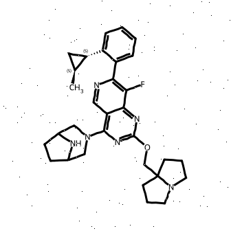 C[C@H]1C[C@@H]1c1ccccc1-c1ncc2c(N3CC4CCC(C3)N4)nc(OCC34CCCN3CCC4)nc2c1F